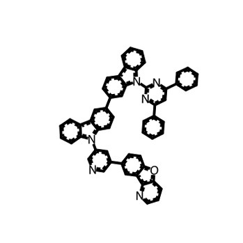 c1ccc(-c2cc(-c3ccccc3)nc(-n3c4ccccc4c4ccc(-c5ccc6c(c5)c5ccccc5n6-c5cncc(-c6ccc7oc8cccnc8c7c6)c5)cc43)n2)cc1